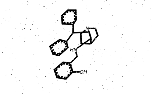 Oc1ccccc1CNC1C2CCN(CC2)C1C(c1ccccc1)c1ccccc1